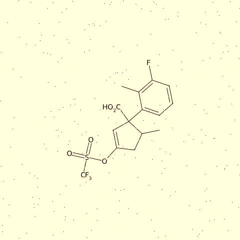 Cc1c(F)cccc1C1(C(=O)O)C=C(OS(=O)(=O)C(F)(F)F)CC1C